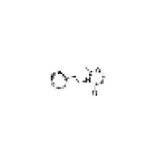 Cc1nccc(=O)n1CCc1ccccc1